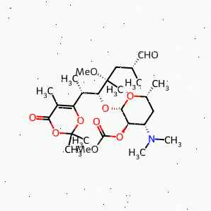 COC(=O)O[C@H]1[C@H](O[C@H]([C@@H](C)C2=C(C)C(=O)OC(C)(C)O2)[C@](C)(C[C@@H](C)C=O)OC)O[C@H](C)C[C@@H]1N(C)C